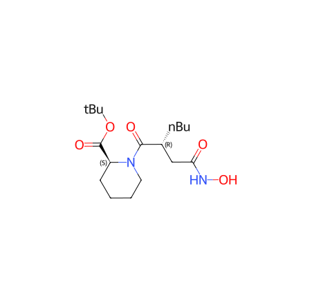 CCCC[C@H](CC(=O)NO)C(=O)N1CCCC[C@H]1C(=O)OC(C)(C)C